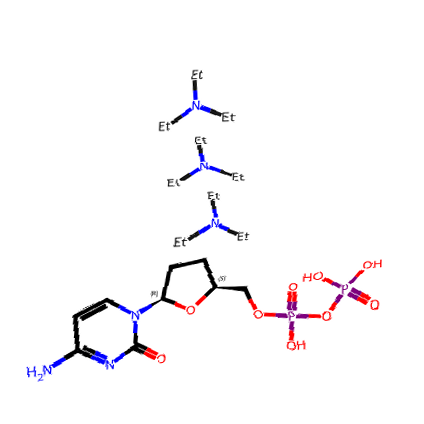 CCN(CC)CC.CCN(CC)CC.CCN(CC)CC.Nc1ccn([C@H]2CC[C@@H](COP(=O)(O)OP(=O)(O)O)O2)c(=O)n1